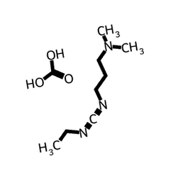 CCN=C=NCCCN(C)C.O=C(O)O